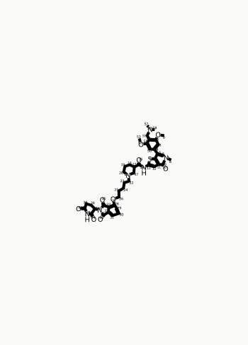 COc1cc(-c2cn(C)c(=O)c3cc(NC(=O)C4CCCN(CCCCCOc5cccc6c5C(=O)N(C5CCC(=O)NC5=O)C6=O)C4)sc23)cc(OC)c1CN(C)C